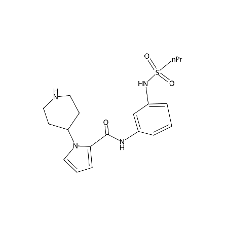 CCCS(=O)(=O)Nc1cccc(NC(=O)c2cccn2C2CCNCC2)c1